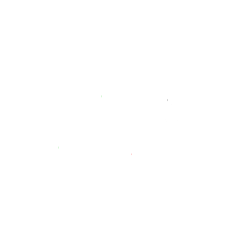 [CH2]c1cccc(Oc2cc(Cl)cc(Cl)c2)c1